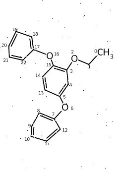 CCOc1cc(Oc2ccccc2)ccc1Oc1ccccc1